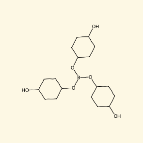 OC1CCC(OB(OC2CCC(O)CC2)OC2CCC(O)CC2)CC1